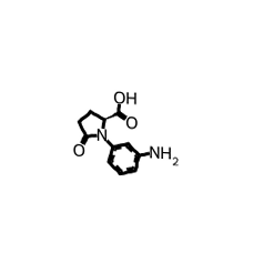 Nc1cccc(N2C(=O)CC[C@H]2C(=O)O)c1